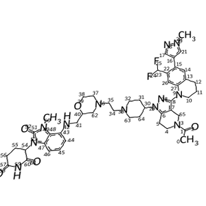 CC(=O)N1CCc2c(c(N3CCCc4cc(-c5cnn(C)c5)c(C(F)F)cc43)nn2C2CCN(CCN3CCOC(CNc4cccc5c4n(C)c(=O)n5C4CCC(=O)NC4=O)C3)CC2)C1